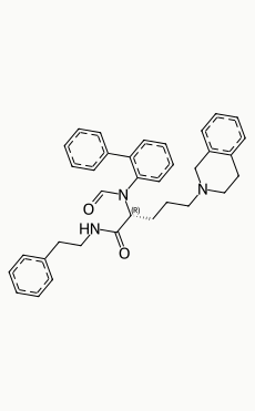 O=CN(c1ccccc1-c1ccccc1)[C@H](CCCN1CCc2ccccc2C1)C(=O)NCCc1ccccc1